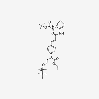 CCOC(=O)C(CCO[Si](C)(C)C(C)(C)C)c1ccc(C=CC(=O)Nc2ccccc2NC(=O)OC(C)(C)C)cc1